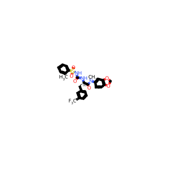 Cc1ccccc1S(=O)(=O)NC(=O)N[C@@H](Cc1cccc(C(F)(F)F)c1)C(=O)N(C)c1ccc2c(c1)OCO2